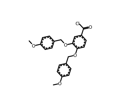 COc1ccc(COc2ccc(C(=O)Cl)cc2OCc2ccc(OC)cc2)cc1